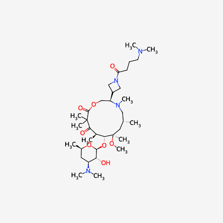 CO[C@]1(C)C[C@@H](C)CN(C)[C@H](C2CN(C(=O)CCCN(C)C)C2)COC(=O)C(C)(C)C(=O)[C@H](C)[C@H]1O[C@@H]1O[C@H](C)C[C@H](N(C)C)[C@H]1O